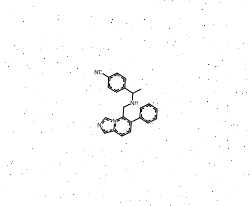 CC(NCc1c(-c2ccccc2)ccc2cncn12)c1ccc(C#N)cc1